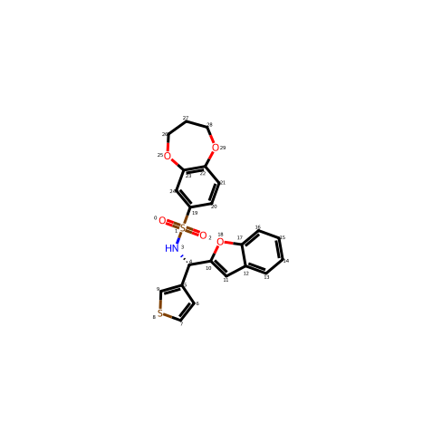 O=S(=O)(N[C@@H](c1ccsc1)c1cc2ccccc2o1)c1ccc2c(c1)OCCCO2